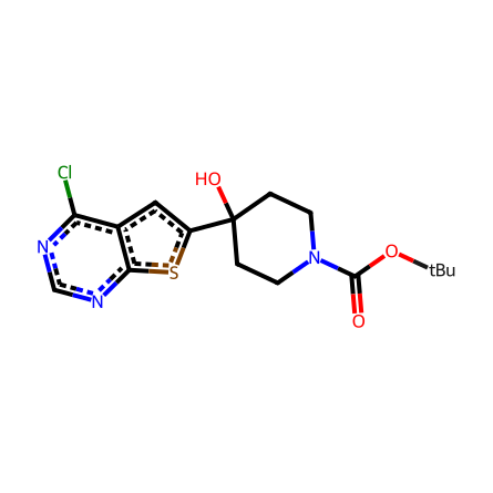 CC(C)(C)OC(=O)N1CCC(O)(c2cc3c(Cl)ncnc3s2)CC1